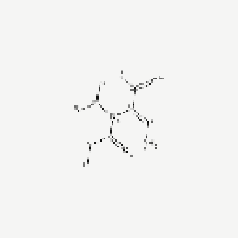 CCC(=O)N(/C(=C\N)C(C)=O)C(C)C